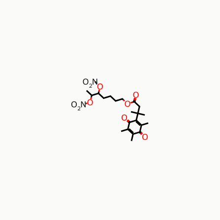 CC1=C(C)C(=O)C(C(C)(C)CC(=O)OCCCCC(O[N+](=O)[O-])C(C)O[N+](=O)[O-])=C(C)C1=O